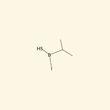 CC(C)B(S)I